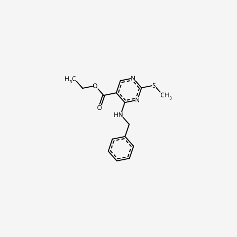 CCOC(=O)c1cnc(SC)nc1NCc1ccccc1